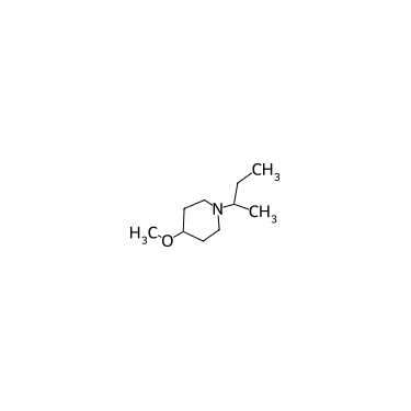 CCC(C)N1CCC(OC)CC1